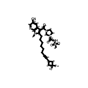 Cn1c(CCCCCCC#CC2CC(F)(F)C2)c(C(=O)N2CC[SH](C(=O)NS(C)(=O)=O)C2)c2cc(C#N)cnc21